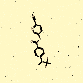 CC(c1ccc(C(=O)Oc2ccc(C#N)nn2)cc1)C(F)(F)F